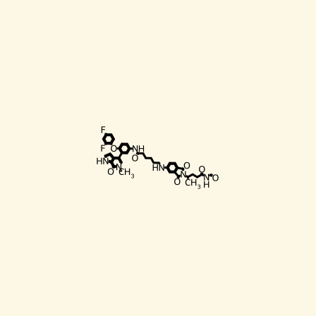 CC(CCC(=O)NC=O)N1C(=O)c2ccc(NCCCCCC(=O)Nc3ccc(Oc4ccc(F)cc4F)c(-c4cn(C)c(=O)c5[nH]ccc45)c3)cc2C1=O